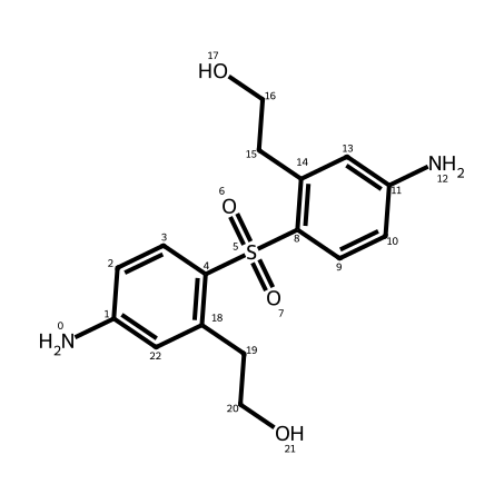 Nc1ccc(S(=O)(=O)c2ccc(N)cc2CCO)c(CCO)c1